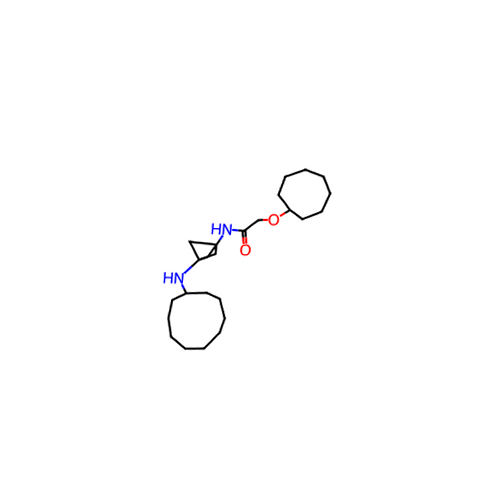 O=C(COC1CCCCCCC1)NC12CC(NC3CCCCCCCCC3)(C1)C2